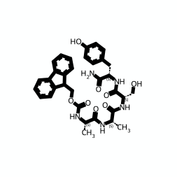 C[C@H](NC(=O)OCC1c2ccccc2-c2ccccc21)C(=O)N[C@@H](C)C(=O)N[C@@H](CO)C(=O)N[C@@H](Cc1ccc(O)cc1)C(N)=O